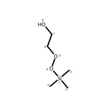 C[Si](C)(C)OOCCO